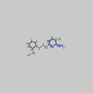 Nc1nc(OCCc2ccccc2CI)ncc1F